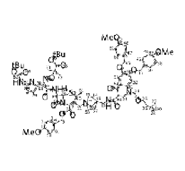 COc1ccc(COC(=O)C2=C(C[N+]34CCC(CNC(=O)c5cn(COCC[Si](C)(C)C)c6cc(OCc7ccc(OC)cc7)c(OCc7ccc(OC)cc7)cc6c5=O)(CC3)C4)[C@H](C)S[C@@H]3[C@H](NC(=O)C(=NOC(C)(C)C(=O)OC(C)(C)C)c4csc(NC(=O)OC(C)(C)C)n4)C(=O)N23)cc1